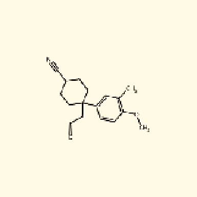 COc1ccc(C2(CC=O)CCC(C#N)CC2)cc1C